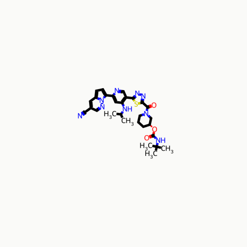 CC(C)Nc1cc(-c2ccc3cc(C#N)cnn23)ncc1-c1nnc(C(=O)N2CCC[C@H](OC(=O)NC(C)(C)C)C2)s1